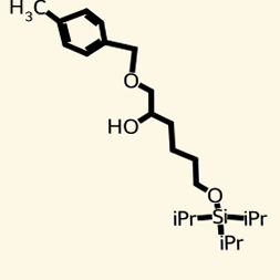 Cc1ccc(COCC(O)CCCCO[Si](C(C)C)(C(C)C)C(C)C)cc1